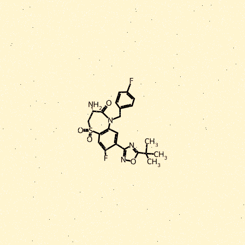 CC(C)(C)c1nc(-c2cc3c(cc2F)S(=O)(=O)C[C@H](N)C(=O)N3Cc2ccc(F)cc2)no1